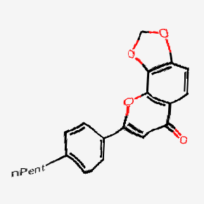 CCCCCc1ccc(-c2cc(=O)c3ccc4c(c3o2)OCO4)cc1